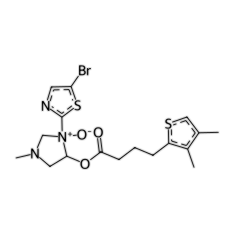 Cc1csc(CCCC(=O)OC2CN(C)C[N+]2([O-])c2ncc(Br)s2)c1C